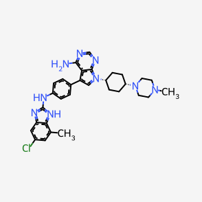 Cc1cc(Cl)cc2nc(Nc3ccc(-c4cn([C@H]5CC[C@@H](N6CCN(C)CC6)CC5)c5ncnc(N)c45)cc3)[nH]c12